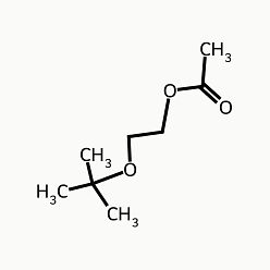 CC(=O)OCCOC(C)(C)C